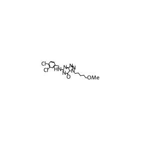 COCCCCCN1N=NC2=NC(NCc3ccc(Cl)c(Cl)c3)=NC(=O)C21